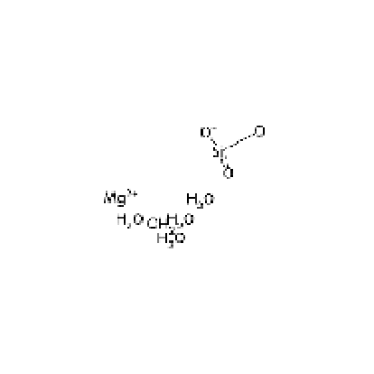 O.O.O.O.O.O=[Si]([O-])[O-].[Mg+2]